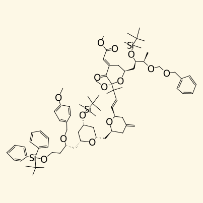 C=C1C[C@@H](C[C@H]2C[C@@H](O[Si](C)(C)C(C)(C)C)C[C@@H](C[C@H](CCO[Si](c3ccccc3)(c3ccccc3)C(C)(C)C)OCc3ccc(OC)cc3)O2)O[C@@H](C=CC(C)(C)[C@]2(OC)O[C@H](C[C@@H](O[Si](C)(C)C(C)(C)C)[C@@H](C)OCOCc3ccccc3)CC(=CC(=O)OC)C2=O)C1